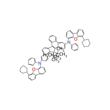 CC(C)(C)C1(C(C)(C)C)c2c(ccc3cc(N(c4ccccc4)c4cccc5c4oc4c(C6CCCCC6)cccc45)ccc23)-c2c1c1ccc(N(c3ccccc3)c3cccc4c3oc3c(C5CCCCC5)cccc34)cc1c1ccccc21